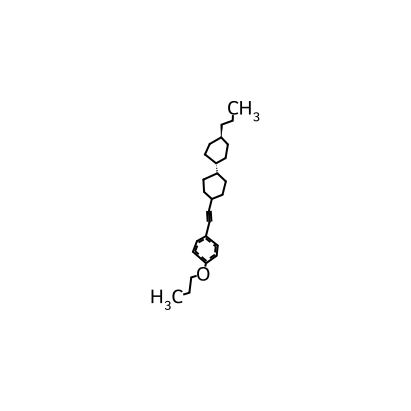 CCCOc1ccc(C#CC2CCC([C@H]3CC[C@H](CCC)CC3)CC2)cc1